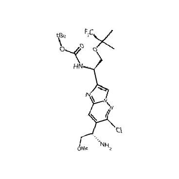 COC[C@@H](N)c1cc2nc([C@H](COC(C)(C)C(F)(F)F)NC(=O)OC(C)(C)C)cn2nc1Cl